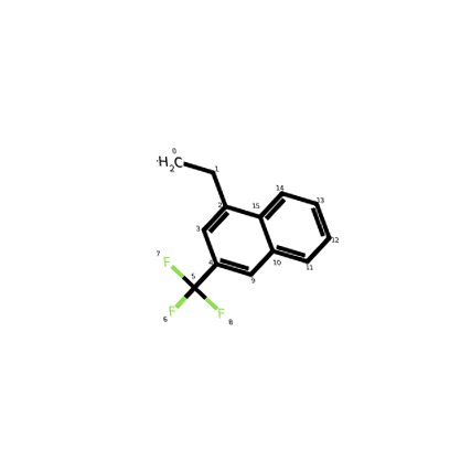 [CH2]Cc1cc(C(F)(F)F)cc2ccccc12